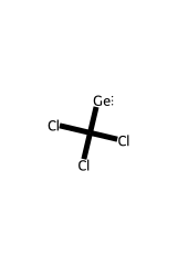 Cl[C](Cl)(Cl)[Ge]